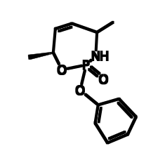 CC1C=C[C@H](C)OP(=O)(Oc2ccccc2)N1